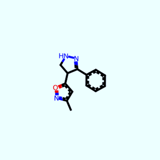 Cc1cc(C2CNN=C2c2ccccc2)on1